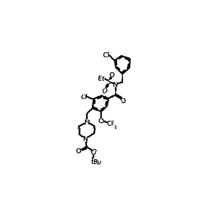 CCS(=O)(=O)N(Cc1cccc(Cl)c1)C(=O)c1cc(Cl)c(CN2CCN(C(=O)OC(C)(C)C)CC2)c(OC(F)(F)F)c1